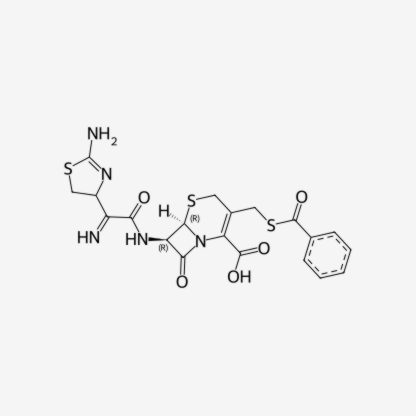 N=C(C(=O)N[C@@H]1C(=O)N2C(C(=O)O)=C(CSC(=O)c3ccccc3)CS[C@H]12)C1CSC(N)=N1